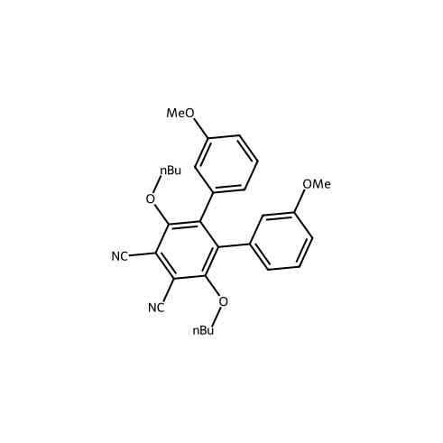 CCCCOc1c(C#N)c(C#N)c(OCCCC)c(-c2cccc(OC)c2)c1-c1cccc(OC)c1